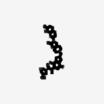 O=C1COc2ncc(N3CC4(CCN(CC5Cc6c(F)cc(NC(=O)[C@@H]7C[C@@H](O)CN7)c(F)c6C5)CC4)OC3=O)nc2N1